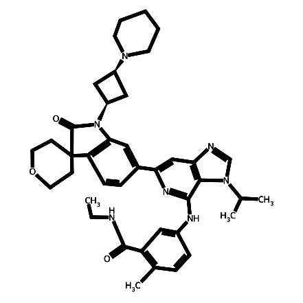 CCNC(=O)c1cc(Nc2nc(-c3ccc4c(c3)N([C@H]3C[C@@H](N5CCCCC5)C3)C(=O)C43CCOCC3)cc3ncn(C(C)C)c23)ccc1C